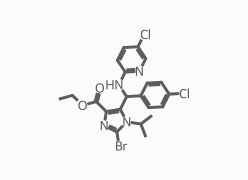 CCOC(=O)c1nc(Br)n(C(C)C)c1C(Nc1ccc(Cl)cn1)c1ccc(Cl)cc1